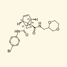 O=C(NCC1COCCO1)[C@H]1[C@H](C(=O)Nc2ccc(Br)cc2)[C@@H]2C=C[C@H]1C21CC1